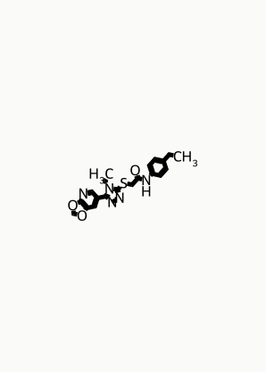 CCc1ccc(NC(=O)CSc2nnc(-c3cnc4c(c3)OCO4)n2CC)cc1